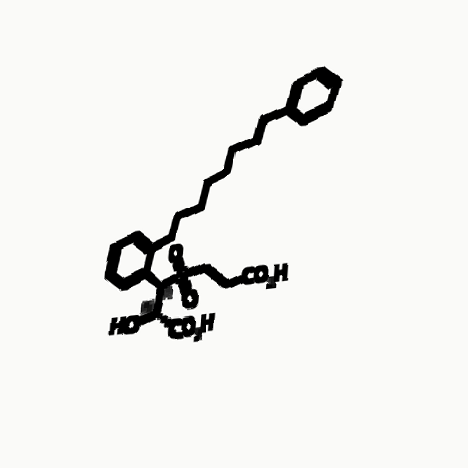 O=C(O)CCS(=O)(=O)[C@H](c1ccccc1CCCCCCCCc1ccccc1)[C@@H](O)C(=O)O